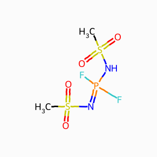 CS(=O)(=O)N=P(F)(F)NS(C)(=O)=O